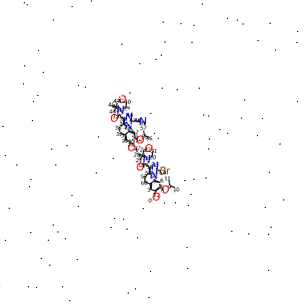 COc1cc2c(cc1OC(C)C)-n1c(Br)nc(C(=O)N3CCOCC3(C)CCOC/C=C3/CCc4c(C(=O)N5CCOCC5(C)C)nc(C#N)n4/C3=C/COC(C)C)c1CC2